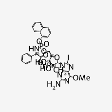 CCCOC(=O)[C@@H](NP(=O)(OC[C@H]1OC(n2c(I)nc3c(OC)nc(N)nc32)[C@](C)(O)[C@@H]1O)Oc1cccc2ccccc12)c1ccccc1